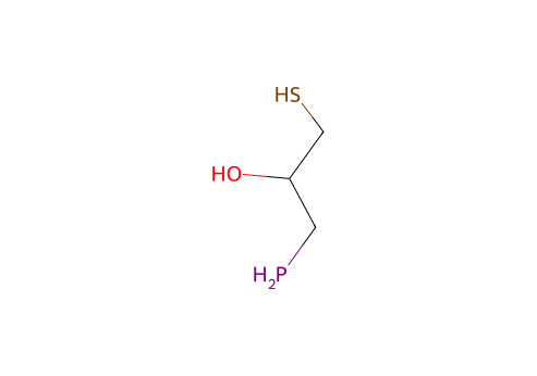 OC(CP)CS